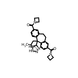 C[C@H](N)CC1(C2N=NNN2)c2ccc(C(=O)N3CCC3)cc2CCc2cc(C(=O)N3CCC3)ccc21